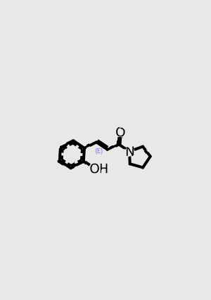 O=C(/C=C/c1ccccc1O)N1CCCC1